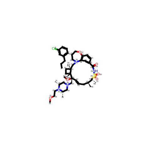 CCCc1cc(Cl)ccc1[C@@H]1COc2ccc3cc2N(C1)C[C@@H]1CC[C@H]1[C@@](CN1C[C@@H](C)N(CCOC)[C@@H](C)C1)(OC)/C=C/C[C@H](C)[C@@H](C)S(=O)(=O)NC3=O